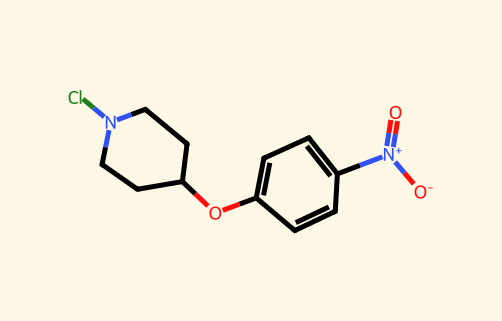 O=[N+]([O-])c1ccc(OC2CCN(Cl)CC2)cc1